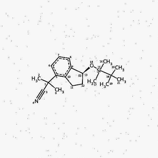 CC(C)(C#N)c1cccc2c1CC[C@@H]2O[Si](C)(C)C(C)(C)C